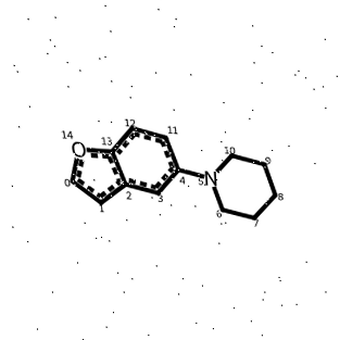 c1cc2cc(N3CCCCC3)ccc2o1